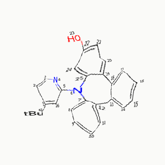 CC(C)(C)c1ccnc(N2c3ccccc3-c3ccccc3-c3ccc(O)cc32)c1